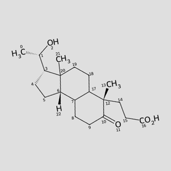 C[C@H](O)[C@H]1CC[C@H]2C3CCC(=O)[C@@](C)(CCC(=O)O)C3CCC12C